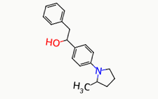 CC1CCCN1c1ccc(C(O)Cc2ccccc2)cc1